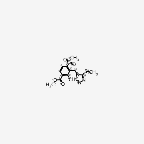 COC(=O)c1ccc(S(C)(=O)=O)c(Cn2nnnc2SC)c1Cl